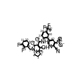 CC12CCCN1N(Cc1cccc(F)c1F)C(=O)C(C(=O)Nc1ccc(C(F)(F)F)cc1-c1cnc(C#N)c([N+](=O)[O-])c1)=C2O